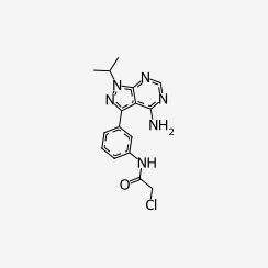 CC(C)n1nc(-c2cccc(NC(=O)CCl)c2)c2c(N)ncnc21